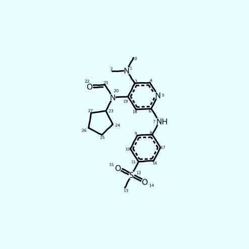 CN(C)c1cnc(Nc2ccc(S(C)(=O)=O)cc2)cc1N(C=O)C1CCCC1